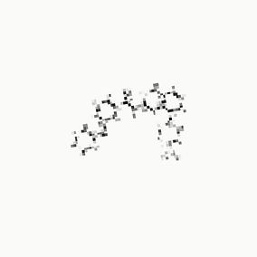 CN1CCN(c2cccc3c2C[C@H](NC(=O)c2cccc(Oc4ccccc4)c2)CC3)CC1